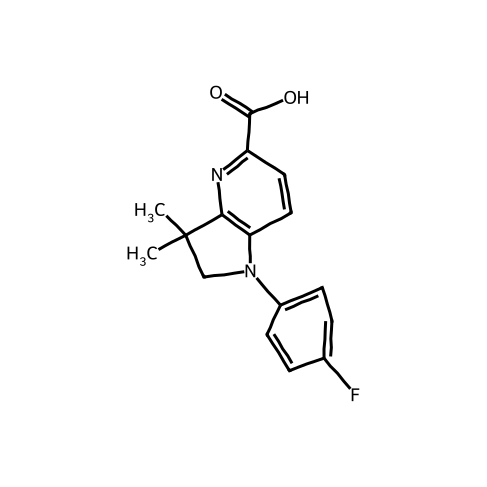 CC1(C)CN(c2ccc(F)cc2)c2ccc(C(=O)O)nc21